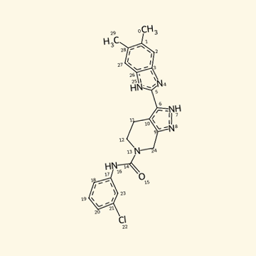 Cc1cc2nc(-c3[nH]nc4c3CCN(C(=O)Nc3cccc(Cl)c3)C4)[nH]c2cc1C